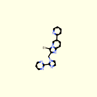 CCc1c(Cn2ccnc2-c2ncccn2)nc2ccc(-c3ccccn3)cn12